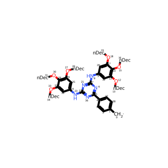 [CH2]c1ccc(-c2nc(Nc3cc(OCCCCCCCCCC)c(OCCCCCCCCCC)c(OCCCCCCCCCC)c3)nc(Nc3cc(OCCCCCCCCCC)c(OCCCCCCCCCC)c(OCCCCCCCCCC)c3)n2)cc1